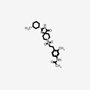 CC(=O)Nc1ccc(CCS(=O)(=O)N2CCC3(CC2)N=C([C@H]2CCC[C@@H](C)C2)NC3=O)c(C)c1